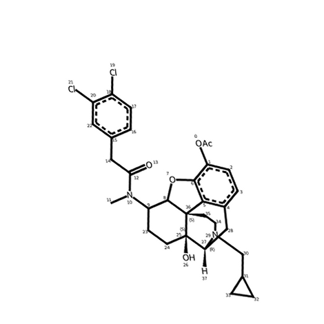 CC(=O)Oc1ccc2c3c1OC1C(N(C)C(=O)Cc4ccc(Cl)c(Cl)c4)CC[C@@]4(O)[C@@H](C2)N(CC2CC2)CC[C@]314